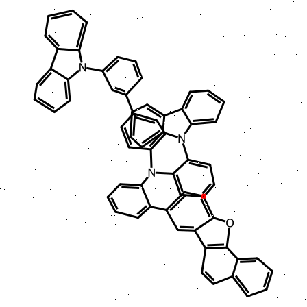 c1cc(-c2ccc(N(c3ccccc3-c3ccc4oc5c6ccccc6ccc5c4c3)c3ccccc3-n3c4ccccc4c4ccccc43)cc2)cc(-n2c3ccccc3c3ccccc32)c1